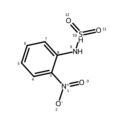 O=[N+]([O-])c1ccccc1N[SH](=O)=O